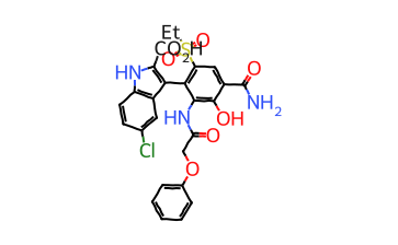 CCS(=O)(=O)c1cc(C(N)=O)c(O)c(NC(=O)COc2ccccc2)c1-c1c(C(=O)O)[nH]c2ccc(Cl)cc12